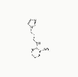 O=[N+]([O-])c1cccnc1NCCCn1ccnc1